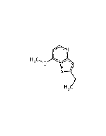 CCc1cc2nccc(OC)c2s1